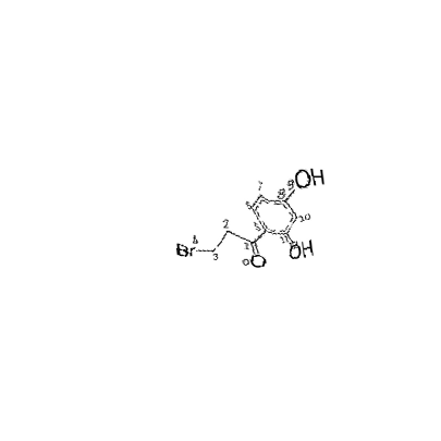 O=C(CCBr)c1ccc(O)cc1O